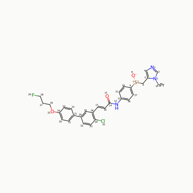 CCCn1cncc1C[S@@+]([O-])c1ccc(NC(=O)/C=C/c2cc(-c3ccc(OCCCF)cc3)ccc2Cl)cc1